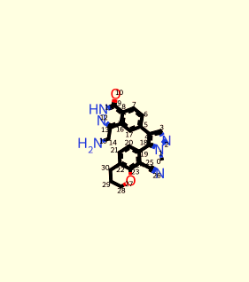 Cn1ncc(-c2ccc3c(=O)[nH]nc(CN)c3c2)c1-c1ccc2c(c1C#N)OCCC2